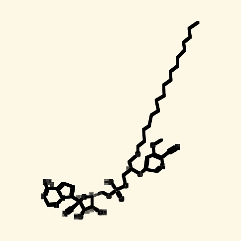 CCCCCCCCCCCCCCCCCCOC[C@H](COP(=O)(O)OC[C@H]1O[C@@](C#N)(c2ccc3c(N)ncnn23)[C@H](O)[C@@H]1O)Oc1cnc(C#N)c(OC)c1